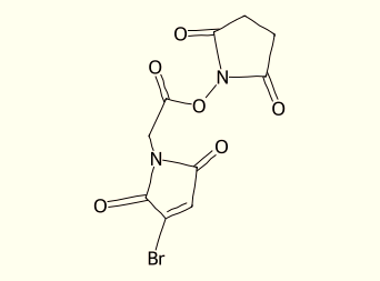 O=C(CN1C(=O)C=C(Br)C1=O)ON1C(=O)CCC1=O